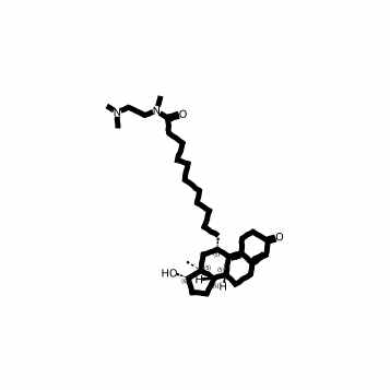 CN(C)CCN(C)C(=O)CCCCCCCCCC[C@H]1C[C@]2(C)[C@@H](O)CC[C@H]2[C@@H]2CCC3=CC(=O)CCC3=C12